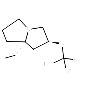 OC[C@]12CCCN1C[C@@H](OC(C(F)(F)F)(C(F)(F)F)C(F)(F)F)C2